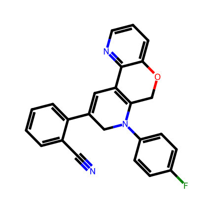 N#Cc1ccccc1C1=CC2=C(COc3cccnc32)N(c2ccc(F)cc2)C1